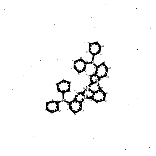 c1ccc(N(c2ccccc2)c2cccc3c2nc2n3c3cccc4c3n2c2nc3c(N(c5ccccc5)c5ccccc5)cccc3n42)cc1